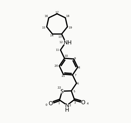 O=C1NC(=O)C(Cc2ccc(CNC3CCCCCC3)cc2)S1